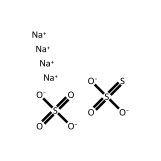 O=S(=O)([O-])[O-].O=S([O-])([O-])=S.[Na+].[Na+].[Na+].[Na+]